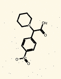 O=C(O)C(c1ccc([N+](=O)[O-])cc1)N1CCCCC1